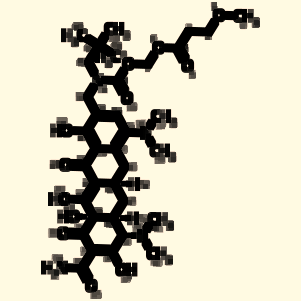 COCCC(=O)OCOC(=O)N(Cc1cc(N(C)C)c2c(c1O)C(=O)C1=C(O)[C@]3(O)C(=O)C(C(N)=O)=C(O)[C@@H](N(C)C)[C@@H]3C[C@@H]1C2)CC(C)(C)C